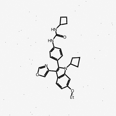 CCOc1ccc2c(-c3cocn3)c(-c3ccc(NC(=O)NC4CCC4)cc3)n(C3CCC3)c2c1